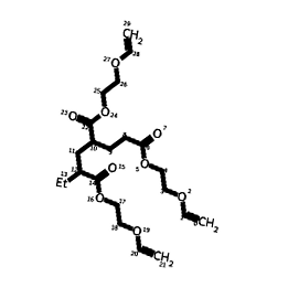 C=COCCOC(=O)CCC(CC(CC)C(=O)OCCOC=C)C(=O)OCCOC=C